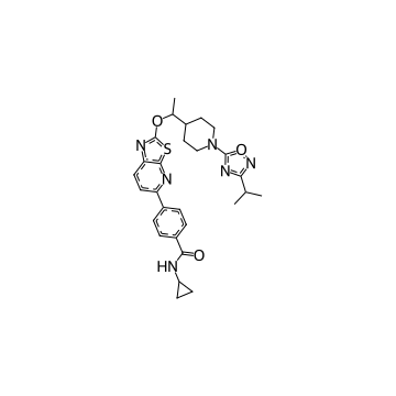 CC(C)c1noc(N2CCC(C(C)Oc3nc4ccc(-c5ccc(C(=O)NC6CC6)cc5)nc4s3)CC2)n1